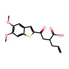 C=CCC(CC(=O)c1cc2cc(OC)c(OC)cc2s1)C(=O)O